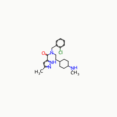 CNC1CCC(CCN(Cc2ccccc2Cl)C(=O)c2cc(C)n[nH]2)CC1